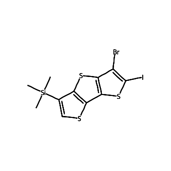 C[Si](C)(C)c1csc2c1sc1c(Br)c(I)sc12